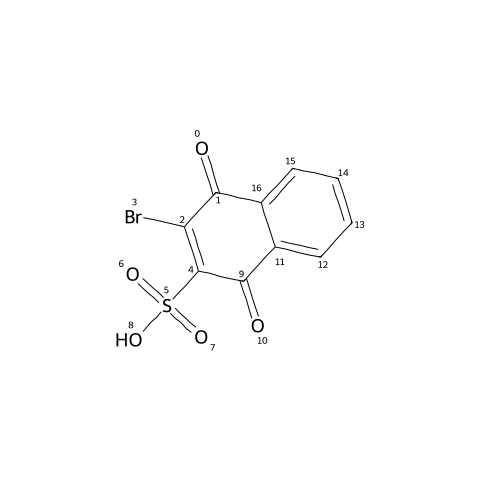 O=C1C(Br)=C(S(=O)(=O)O)C(=O)c2ccccc21